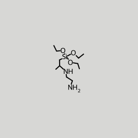 CCO[Si](CC(C)NCCN)(OCC)OCC